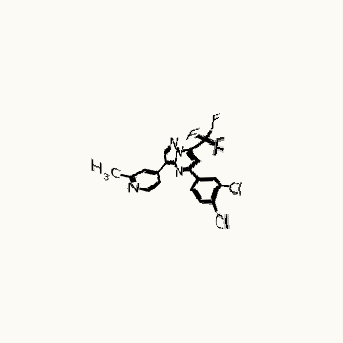 Cc1cc(-c2cnn3c(C(F)(F)F)cc(-c4ccc(Cl)c(Cl)c4)nc23)ccn1